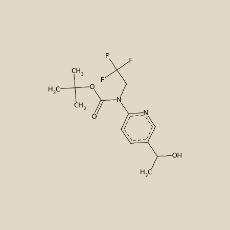 CC(O)c1ccc(N(CC(F)(F)F)C(=O)OC(C)(C)C)nc1